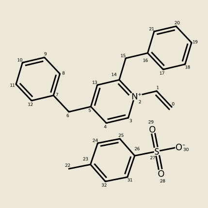 C=C[n+]1ccc(Cc2ccccc2)cc1Cc1ccccc1.Cc1ccc(S(=O)(=O)[O-])cc1